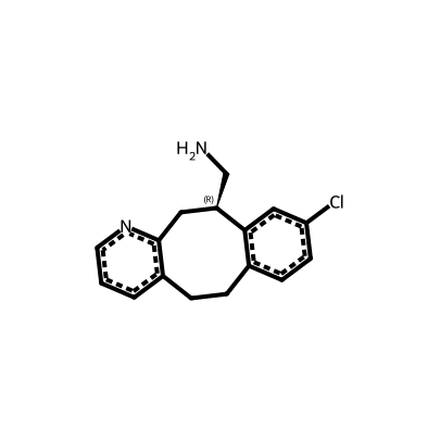 NC[C@@H]1Cc2ncccc2CCc2ccc(Cl)cc21